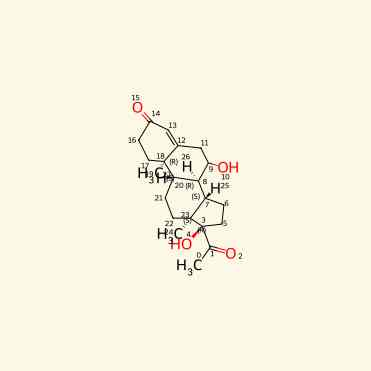 CC(=O)[C@@]1(O)CC[C@H]2[C@@H]3C(O)CC4=CC(=O)CC[C@]4(C)[C@H]3CC[C@@]21C